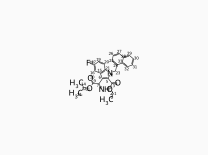 CCOC(=O)c1c(C(N)C(=O)OC(C)C)c2cc(F)ccc2n1Cc1cccc2ccccc12